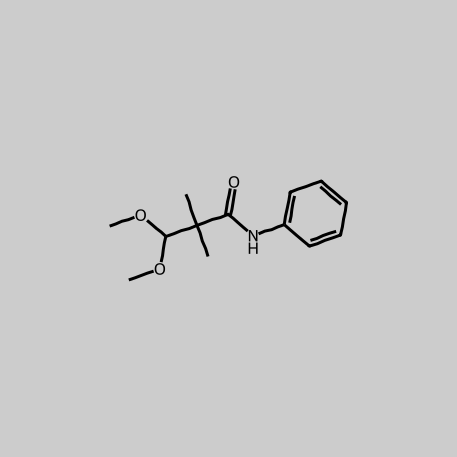 COC(OC)C(C)(C)C(=O)Nc1ccccc1